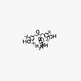 CC(C)(C)c1cc(CCC(=O)C(Cc2cc(C(C)(C)C)c(O)c(C(C)(C)C)c2)C(=O)CCC(=O)NN)cc(C(C)(C)C)c1O